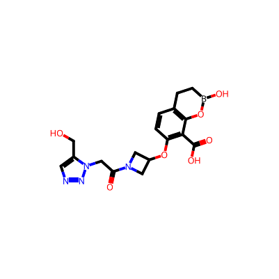 O=C(O)c1c(OC2CN(C(=O)Cn3nncc3CO)C2)ccc2c1OB(O)CC2